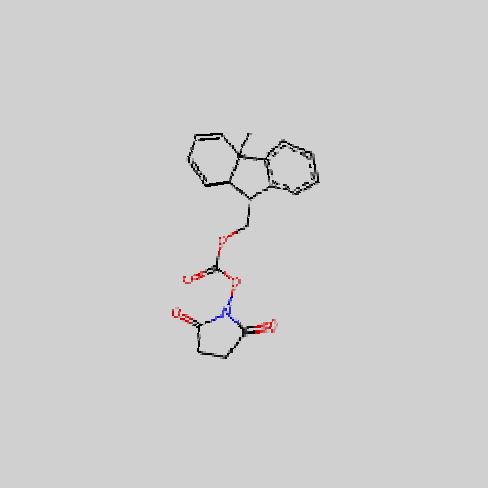 CC12C=CC=CC1C(COC(=O)ON1C(=O)CCC1=O)c1ccccc12